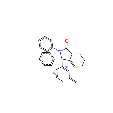 C=C/C=C(\C=C/C)C1(c2ccccc2)C2=CCCC=C2C(=O)N1c1ccccc1